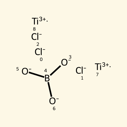 [Cl-].[Cl-].[Cl-].[O-]B([O-])[O-].[Ti+3].[Ti+3]